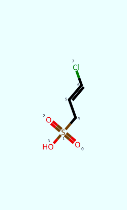 O=S(=O)(O)CC=CCl